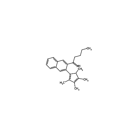 CCCCC(=N)c1cc2ccccc2cc1C1=C(C)C(C)=C(C)C1C